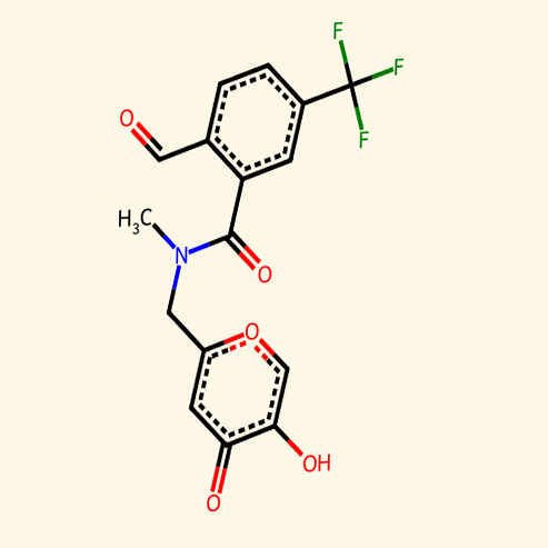 CN(Cc1cc(=O)c(O)co1)C(=O)c1cc(C(F)(F)F)ccc1C=O